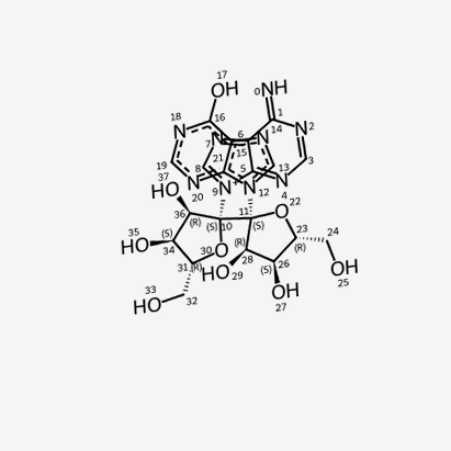 N=C1N=CN=C2C1=NC=[N+]2[C@]1([C@@]2(n3cnc4c(O)ncnc43)O[C@H](CO)[C@@H](O)[C@H]2O)O[C@H](CO)[C@@H](O)[C@H]1O